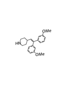 COc1cccc(C(=CC2CCNCC2)c2cccc(OC)c2)c1